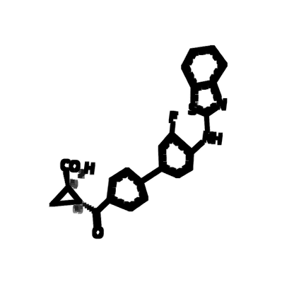 O=C(O)[C@@H]1C[C@H]1C(=O)c1ccc(-c2ccc(Nc3nc4ccccc4s3)c(F)c2)cc1